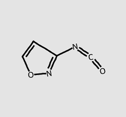 O=C=Nc1ccon1